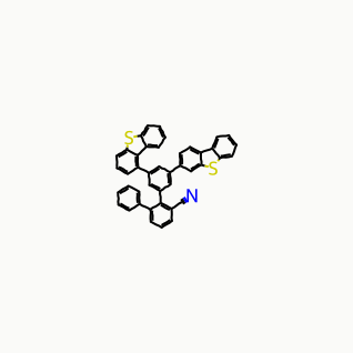 N#Cc1cccc(-c2ccccc2)c1-c1cc(-c2ccc3c(c2)sc2ccccc23)cc(-c2cccc3sc4ccccc4c23)c1